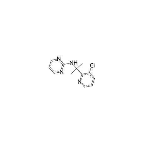 CC(C)(Nc1ncccn1)c1ncccc1Cl